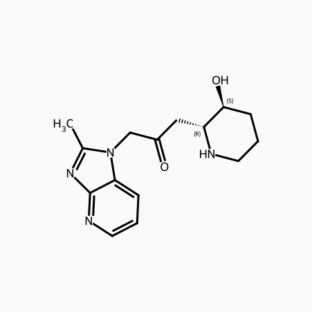 Cc1nc2ncccc2n1CC(=O)C[C@H]1NCCC[C@@H]1O